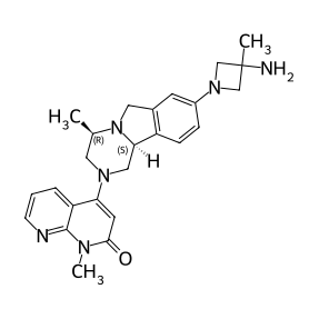 C[C@@H]1CN(c2cc(=O)n(C)c3ncccc23)C[C@@H]2c3ccc(N4CC(C)(N)C4)cc3CN12